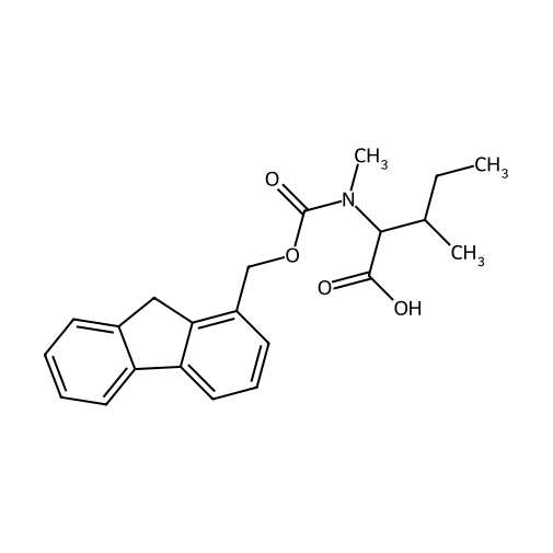 CCC(C)C(C(=O)O)N(C)C(=O)OCc1cccc2c1Cc1ccccc1-2